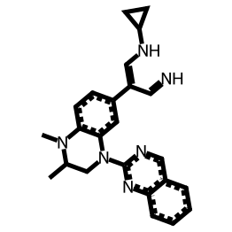 CC1CN(c2ncc3ccccc3n2)c2cc(/C(C=N)=C/NC3CC3)ccc2N1C